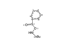 CCCCNOS(=O)c1ccccc1